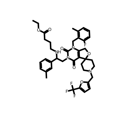 CCOC(=O)CCCNC(Cn1c(=O)c2c(n(Cc3c(C)cccc3F)c1=O)COC21CCN(Cc2ccc(C(F)(F)F)o2)CC1)c1cccc(C)c1